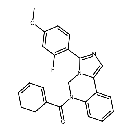 COc1ccc(-c2ncc3n2CN(C(=O)C2=CC=CCC2)c2ccccc2-3)c(F)c1